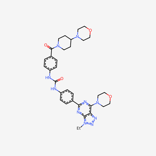 CCn1nnc2c(N3CCOCC3)nc(-c3ccc(NC(=O)Nc4ccc(C(=O)N5CCC(N6CCOCC6)CC5)cc4)cc3)nc21